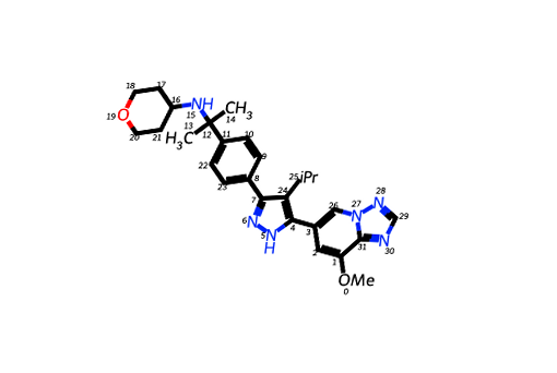 COc1cc(-c2[nH]nc(-c3ccc(C(C)(C)NC4CCOCC4)cc3)c2C(C)C)cn2ncnc12